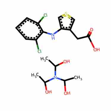 CC(O)N(C(C)O)C(C)O.O=C(O)Cc1cscc1Nc1c(Cl)cccc1Cl